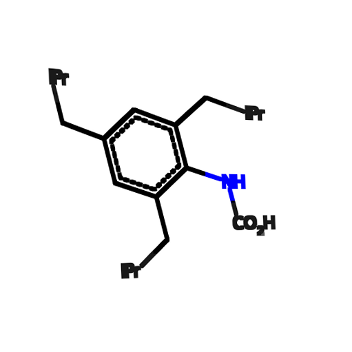 CC(C)Cc1cc(CC(C)C)c(NC(=O)O)c(CC(C)C)c1